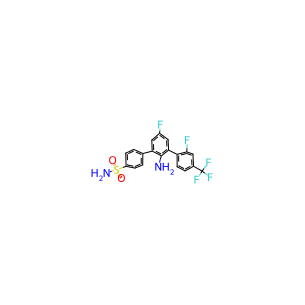 Nc1c(-c2ccc(S(N)(=O)=O)cc2)cc(F)cc1-c1ccc(C(F)(F)F)cc1F